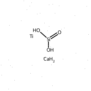 O=[Si](O)O.[CaH2].[Ti]